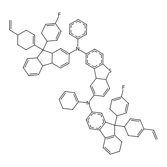 C=CC1=CCC(C2(C3C=CC(F)=CC3)C3=C(C=CCC3)c3ccc(N(C4=CC5c6cc(N(C7=CC8C(C=C7)C7C=CC=CC7C8(C7=CCC(C=C)CC7)C7C=CC(F)=CC7)c7ccccc7)ccc6SC5C=C4)C4=CC=CCC4)cc32)C=C1